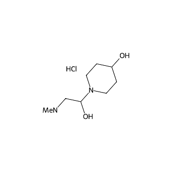 CNCC(O)N1CCC(O)CC1.Cl